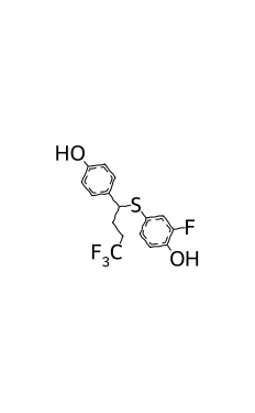 Oc1ccc(C(CCC(F)(F)F)Sc2ccc(O)c(F)c2)cc1